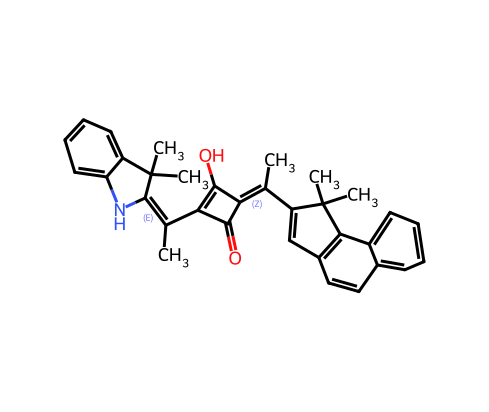 C/C(C1=Cc2ccc3ccccc3c2C1(C)C)=C1/C(=O)C(C(/C)=C2/Nc3ccccc3C2(C)C)=C1O